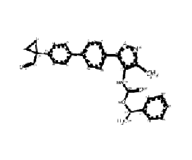 Cc1noc(-c2ccc(-c3ccc(C4(C=O)CC4)cc3)cc2)c1NC(=O)O[C@H](C)c1ccccc1